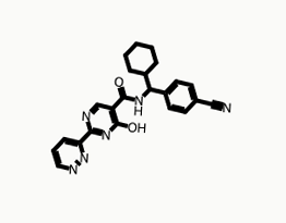 N#Cc1ccc(C(NC(=O)c2cnc(-c3cccnn3)nc2O)C2CCCCC2)cc1